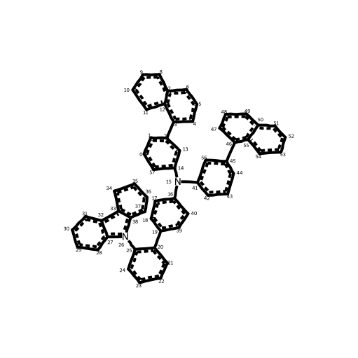 c1cc(-c2cccc3ccccc23)cc(N(c2ccc(-c3ccccc3-n3c4ccccc4c4ccccc43)cc2)c2cccc(-c3cccc4ccccc34)c2)c1